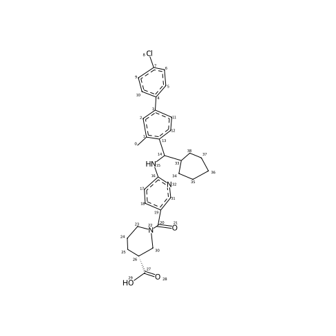 Cc1cc(-c2ccc(Cl)cc2)ccc1C(Nc1ccc(C(=O)N2CCC[C@@H](C(=O)O)C2)cn1)C1CCCCC1